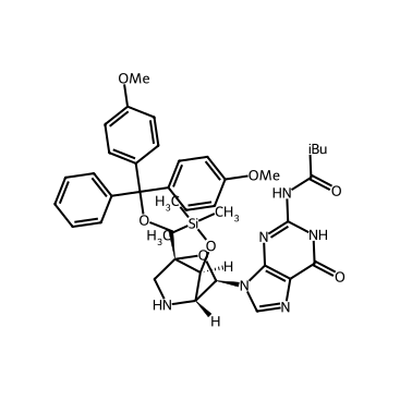 CCC(C)C(=O)Nc1nc2c(ncn2[C@@H]2O[C@@]3(COC(c4ccccc4)(c4ccc(OC)cc4)c4ccc(OC)cc4)CN[C@@H]2[C@@H]3O[Si](C)(C)C)c(=O)[nH]1